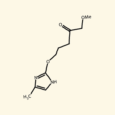 COCC(=O)CCCOc1nc(C)c[nH]1